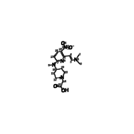 CN(C)C=Cc1nc(N(C)C2CCN(CC(=O)O)CC2)ccc1[N+](=O)[O-]